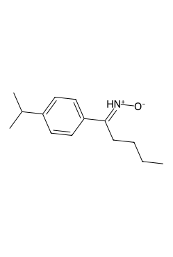 CCCCC(=[NH+][O-])c1ccc(C(C)C)cc1